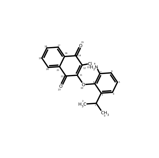 CC(C)c1cccc(N)c1OC1=C(Cl)C(=O)c2ccccc2C1=O